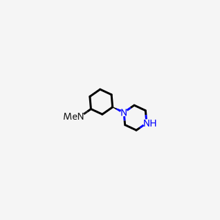 CNC1CCC[C@@H](N2CCNCC2)C1